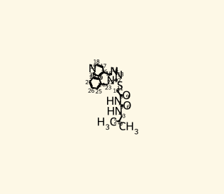 CC(C)CNC(=O)NC(=O)CSc1nnc(-c2ccncc2)n1Cc1ccccc1